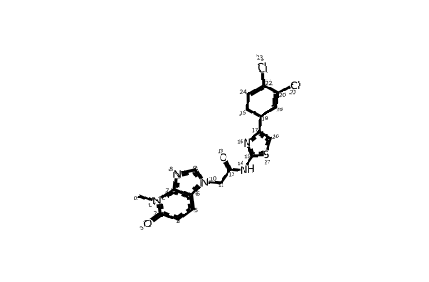 Cn1c(=O)ccc2c1ncn2CC(=O)Nc1nc(C2C=C(Cl)C(Cl)=CC2)cs1